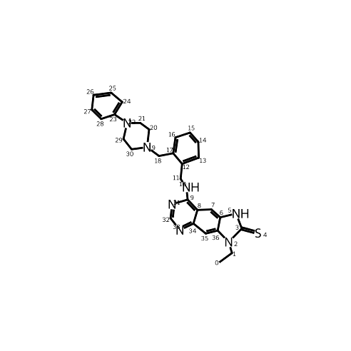 CCn1c(=S)[nH]c2cc3c(NCc4ccccc4CN4CCN(c5ccccc5)CC4)ncnc3cc21